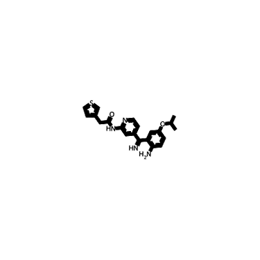 CC(C)Oc1ccc(N)c(C(=N)c2ccnc(NC(=O)Cc3ccsc3)c2)c1